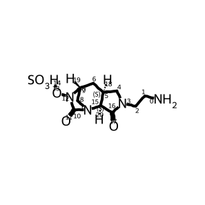 NCCN1C[C@@H]2C[C@@H]3CN(C(=O)N3OS(=O)(=O)O)[C@@H]2C1=O